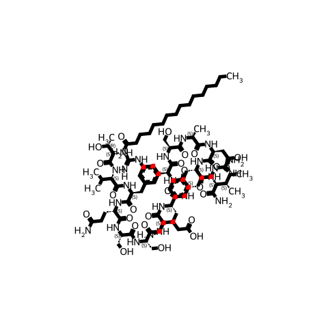 CCCCCCCCCCCCCCCC(=O)N[C@H](C(=O)N[C@H](C(=O)N[C@@H](Cc1ccccc1)C(=O)N[C@@H](CCC(N)=O)C(=O)N[C@@H](CO)C(=O)N[C@@H](CO)C(=O)N[C@@H](CCC(=O)O)C(=O)N[C@@H](CCCCN)C(=O)N[C@@H](CCCNC(=N)N)C(=O)N[C@@H](CCCNC(=N)N)C(=O)N[C@@H](CO)C(=O)N[C@@H](C)C(=O)N[C@@H](CC(=O)O)C(=O)N[C@@H](Cc1ccccc1)C(=O)N[C@H](C(N)=O)[C@@H](C)CC)C(C)C)[C@@H](C)O